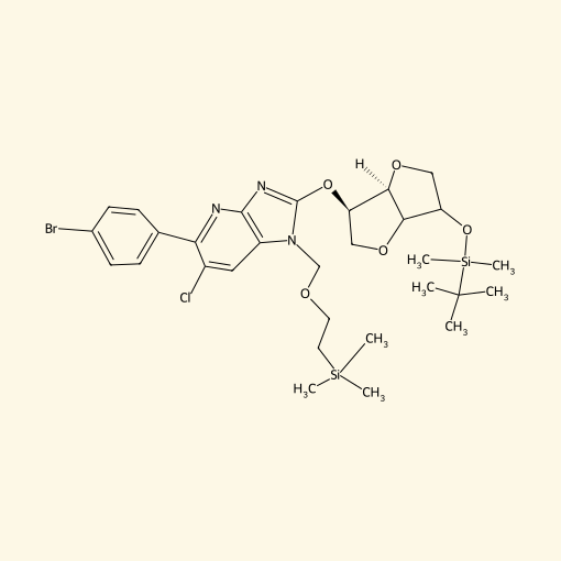 CC(C)(C)[Si](C)(C)OC1CO[C@H]2C1OC[C@H]2Oc1nc2nc(-c3ccc(Br)cc3)c(Cl)cc2n1COCC[Si](C)(C)C